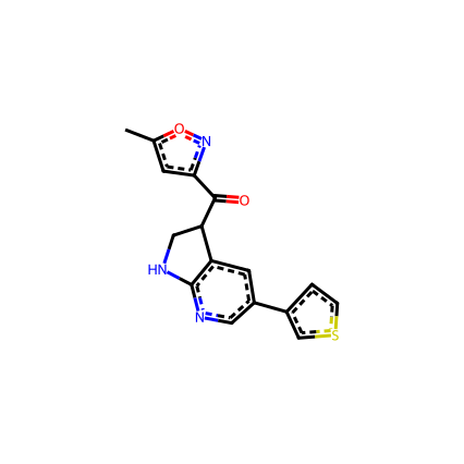 Cc1cc(C(=O)C2CNc3ncc(-c4ccsc4)cc32)no1